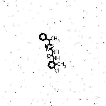 Cc1c(Cl)cccc1NC(=O)Nc1nnc(C(C)c2ccccc2)s1